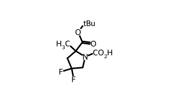 CC(C)(C)OC(=O)C1(C)CC(F)(F)CN1C(=O)O